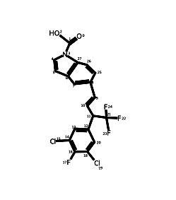 O=C(O)n1ccc2cc(C=CC(c3cc(Cl)c(F)c(Cl)c3)C(F)(F)F)ccc21